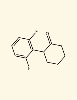 O=C1CCCCC1c1c(F)cccc1F